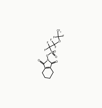 O=C1C2=C(CCCC2)C(=O)N1OS(=O)(=O)C(F)(F)C(F)(F)OC(F)(F)C(F)(F)F